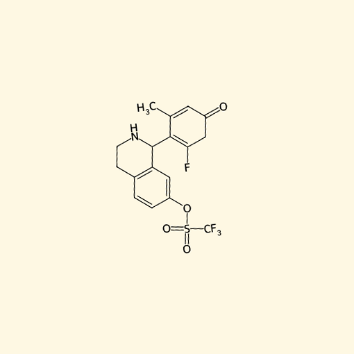 CC1=CC(=O)CC(F)=C1C1NCCc2ccc(OS(=O)(=O)C(F)(F)F)cc21